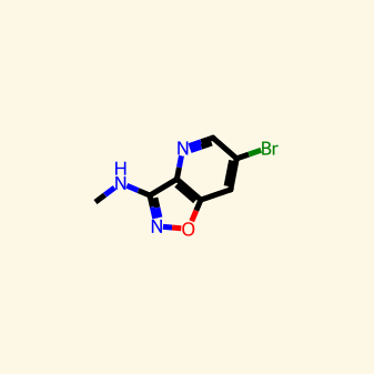 CNc1noc2cc(Br)cnc12